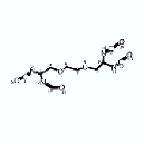 O=C=NC(COCCOCC(N=C=O)N=C=O)N=C=O